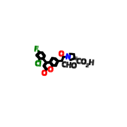 O=CC(C(=O)N1CC[C@H](C(=O)O)C1)c1ccc2c(-c3ccc(F)cc3Cl)cc(=O)oc2c1